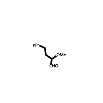 CCCCCC([C]=O)OC